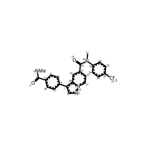 CNC(=O)c1ccc(-c2cnn3ccc(C(=O)N(C)c4ccc(C(F)(F)F)cc4)cc23)cc1